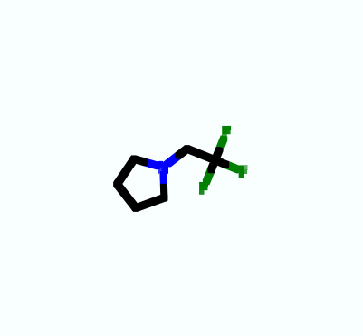 FC(F)(F)CN1CCCC1